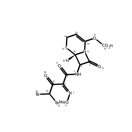 CON=C(C(=O)NC1C(=O)N2C(OC(=O)O)=CCS[C@@H]12)C(=O)C(Br)Br